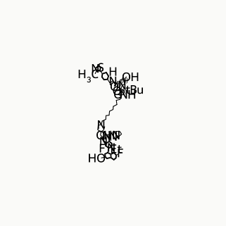 CCc1c(F)ccc2cc(O)cc(-c3ncc4c(N5CC6CCC(C5)N6)nc(OC5CCN(CCCCCCCCCCC(=O)N[C@H](C(=O)N6C[C@H](O)C[C@H]6C(=O)NCc6ccc(-c7scnc7C)cc6)C(C)(C)C)CC5)nc4c3F)c12